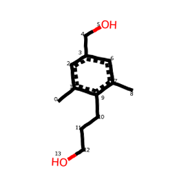 Cc1cc(CO)cc(C)c1CCCO